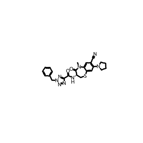 CN1C(=O)[C@@H](NC(=O)c2nnn(Cc3ccccc3)n2)CSc2cc(N3CCCC3)c(C#N)cc21